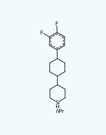 CCC[SiH]1CCC(C2CCC(c3ccc(F)c(F)c3)CC2)CC1